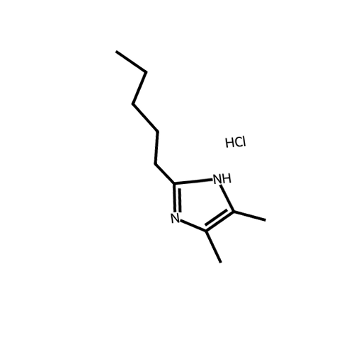 CCCCCc1nc(C)c(C)[nH]1.Cl